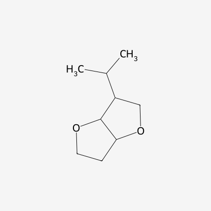 CC(C)C1COC2CCOC21